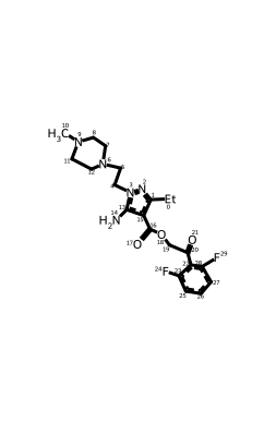 CCc1nn(CCN2CCN(C)CC2)c(N)c1C(=O)OCC(=O)c1c(F)cccc1F